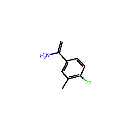 C=C(N)c1ccc(Cl)c(C)c1